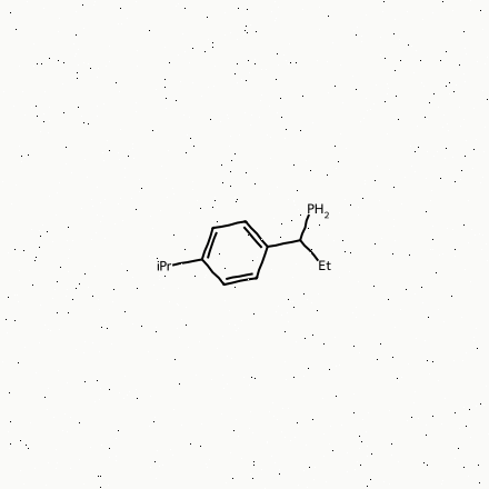 CCC(P)c1ccc(C(C)C)cc1